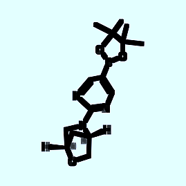 CC1(C)OB(c2cnc(N3C[C@@H]4C[C@H]3CO4)nc2)OC1(C)C